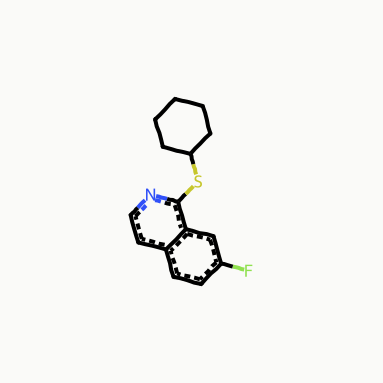 Fc1ccc2ccnc(SC3CCCCC3)c2c1